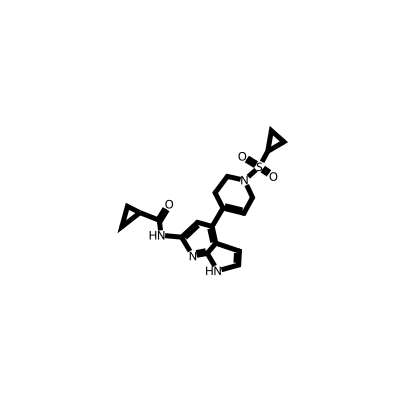 O=C(Nc1cc(C2=CCN(S(=O)(=O)C3CC3)CC2)c2cc[nH]c2n1)C1CC1